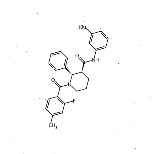 Cc1ccc(C(=O)N2CCC[C@H](C(=O)Nc3cccc(C(C)(C)C)c3)[C@@H]2c2ccccc2)c(F)c1